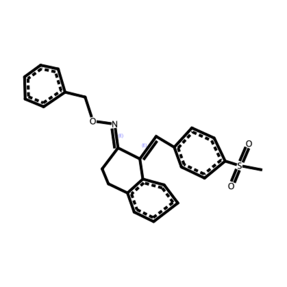 CS(=O)(=O)c1ccc(/C=C2/C(=N/OCc3ccccc3)CCc3ccccc32)cc1